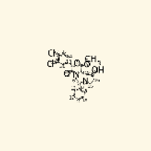 COC(=O)CN(C[C@@H](c1ccccc1)N1CC[C@H](O)C1)C(=O)Cc1ccc(Cl)c(Cl)c1